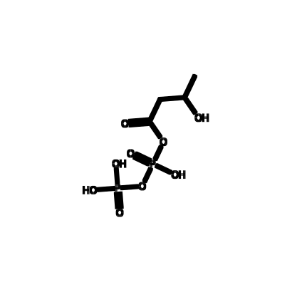 CC(O)CC(=O)OP(=O)(O)OP(=O)(O)O